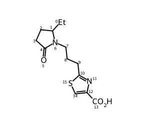 CCC1CCC(=O)N1CCCc1nc(C(=O)O)cs1